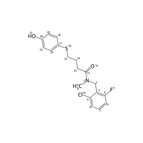 CN(Cc1c(F)cccc1Cl)C(=O)CCCSc1ccc(O)cc1